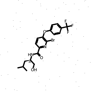 CC(C)C[C@H](CO)NC(=O)c1ccc(Oc2ccc(C(F)(F)F)cc2)c(Br)n1